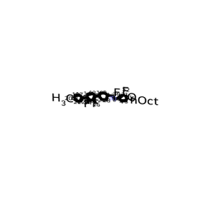 CCCCCCCCOc1ccc(/C=C/C2CCC(c3ccc(-c4ccc(C)cc4)c(F)c3F)CC2)c(F)c1F